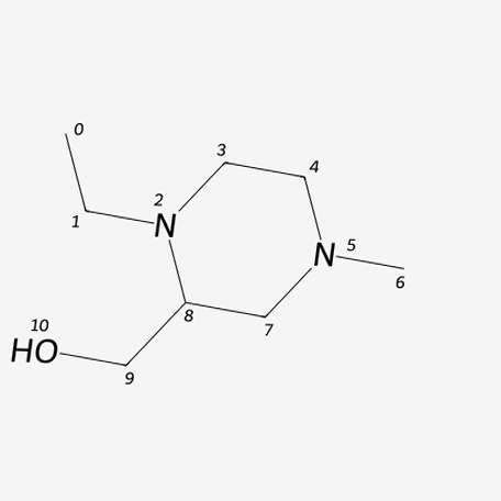 CCN1CCN(C)CC1CO